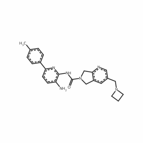 Cc1ccc(-c2ccc(N)c(NC(=O)N3Cc4cc(CN5CCC5)cnc4C3)n2)cc1